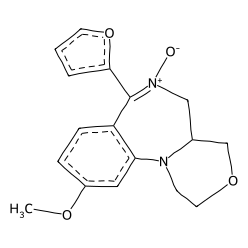 COc1ccc2c(c1)N1CCOCC1C[N+]([O-])=C2c1ccco1